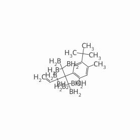 BC(B)(B)C(c1cc(C(C)(C)C)c(C)cc1O)(C(B)(B)B)C(B)(B)C=C